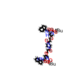 CC(C)(C)OC(=O)N1C[C@@H](OCCC(=O)N2CCN(C(=O)CCO[C@H]3C[C@@H](C(=O)N[C@@H]4CCCc5ccccc54)N(C(=O)OC(C)(C)C)C3)CC2)C[C@H]1C(=O)N[C@@H]1CCCc2ccccc21